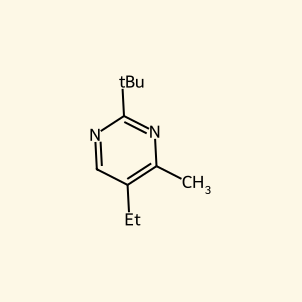 CCc1cnc(C(C)(C)C)nc1C